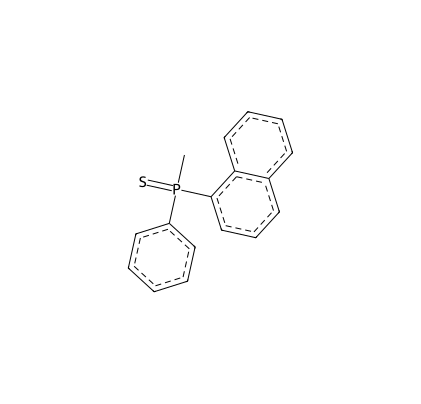 CP(=S)(c1ccccc1)c1cccc2ccccc12